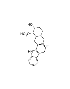 Cl.O=C(O)C1C(O)CCC2CN3CCc4c([nH]c5ccccc45)C3CC21